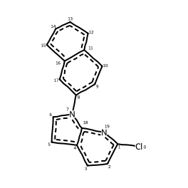 Clc1ccc2ccn(-c3ccc4ccccc4c3)c2n1